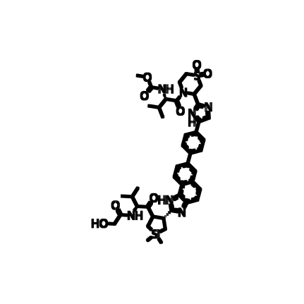 COC(=O)N[C@H](C(=O)N1CCS(=O)(=O)CC1c1ncc(-c2ccc(-c3ccc4c(ccc5nc([C@@H]6C[Si](C)(C)CC6C(=O)[C@@H](NC(=O)CO)C(C)C)[nH]c54)c3)cc2)[nH]1)C(C)C